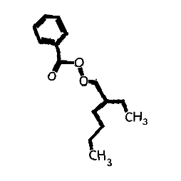 CCCCC([CH]OOC(=O)c1ccccc1)CC